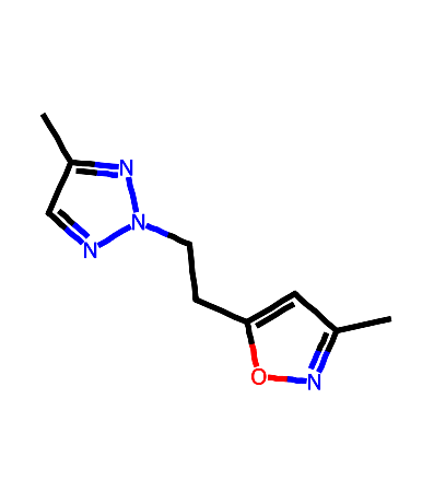 Cc1cc(CCn2ncc(C)n2)on1